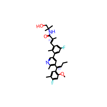 CC/C=C(/c1cc(C)c(F)cc1OC)c1cc(-c2cc(F)cc(/C=C(\C)C(=O)NC(C)(C)CO)c2C)cnc1C